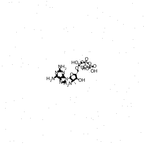 C[C@@]1(N)[C@H](O)[C@@H](COP(=O)(O)OP(=O)(O)OP(=O)(O)O)O[C@H]1n1cnc2c(N)nc(N)nc21